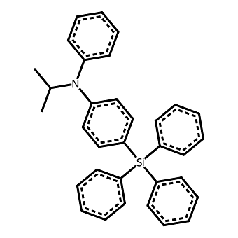 CC(C)N(c1ccccc1)c1ccc([Si](c2ccccc2)(c2ccccc2)c2ccccc2)cc1